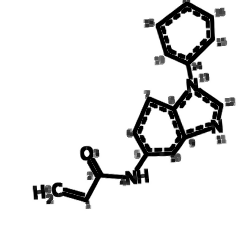 C=CC(=O)Nc1ccc2c(c1)ncn2-c1ccccc1